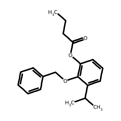 CCCC(=O)Oc1cccc(C(C)C)c1OCc1ccccc1